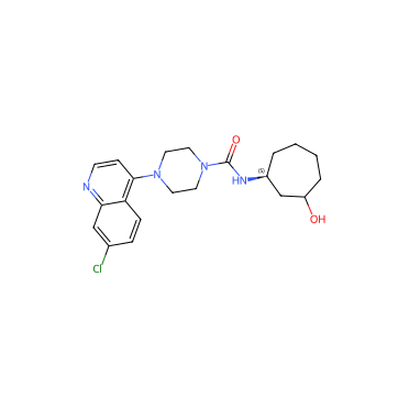 O=C(N[C@H]1CCCCC(O)C1)N1CCN(c2ccnc3cc(Cl)ccc23)CC1